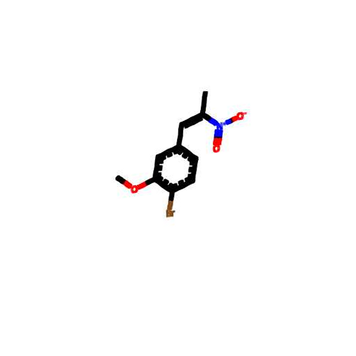 COc1cc(C=C(C)[N+](=O)[O-])ccc1Br